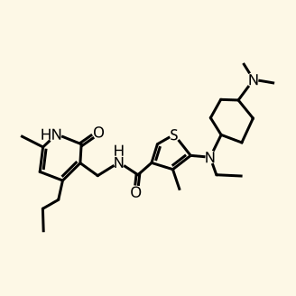 CCCc1cc(C)[nH]c(=O)c1CNC(=O)c1csc(N(CC)C2CCC(N(C)C)CC2)c1C